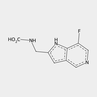 O=C(O)NCc1cc2cncc(F)c2[nH]1